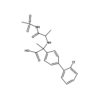 CC(NC(C)(C(=O)O)c1ccc(-c2ccccc2Cl)cc1)C(=O)NS(C)(=O)=O